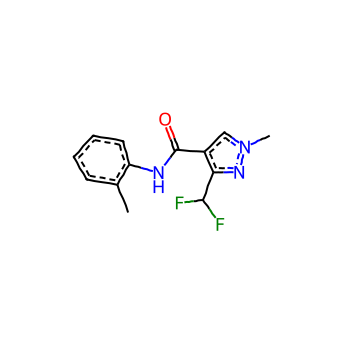 Cc1ccccc1NC(=O)c1cn(C)nc1C(F)F